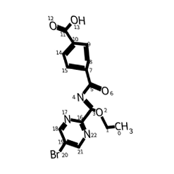 CCOC(=NC(=O)c1ccc(C(=O)O)cc1)c1ncc(Br)cn1